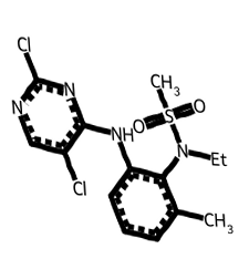 CCN(c1c(C)cccc1Nc1nc(Cl)ncc1Cl)S(C)(=O)=O